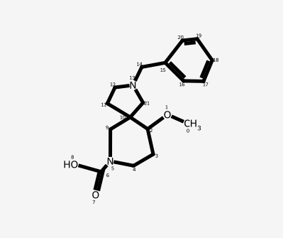 COC1CCN(C(=O)O)CC12CCN(Cc1ccccc1)C2